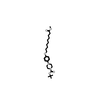 COC(=O)CCCCCCCCCOc1ccc(N2CCN(C(=O)OC(C)(C)C)CC2)cc1